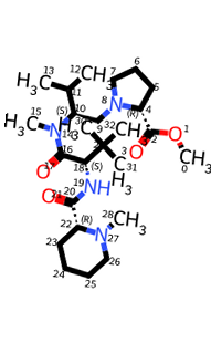 COC(=O)[C@H]1CCCN1C[C@H](C(C)C)N(C)C(=O)[C@@H](NC(=O)[C@H]1CCCCN1C)C(C)(C)C